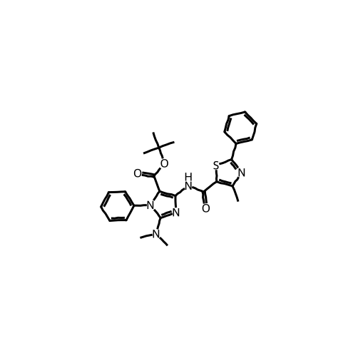 Cc1nc(-c2ccccc2)sc1C(=O)Nc1nc(N(C)C)n(-c2ccccc2)c1C(=O)OC(C)(C)C